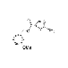 COc1cccc(COC(=O)c2csc(N)n2)c1